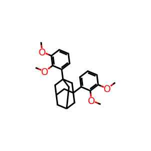 COc1cccc(C23CC4CC(C2)CC(c2cccc(OC)c2OC)(C4)C3)c1OC